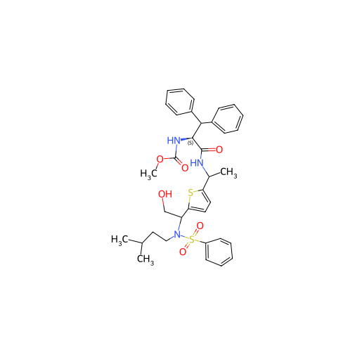 COC(=O)N[C@H](C(=O)NC(C)c1ccc(C(CO)N(CCC(C)C)S(=O)(=O)c2ccccc2)s1)C(c1ccccc1)c1ccccc1